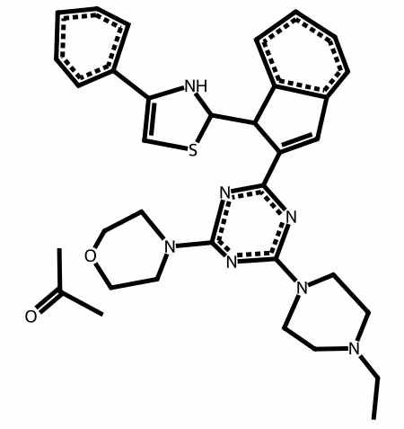 CC(C)=O.CCN1CCN(c2nc(C3=Cc4ccccc4C3C3NC(c4ccccc4)=CS3)nc(N3CCOCC3)n2)CC1